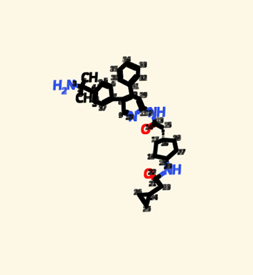 CC(C)(N)c1ccc(-c2cnc(NC(=O)C[C@H]3CC[C@H](NC(=O)CC4CC4)CC3)cc2-c2ccccc2)cc1